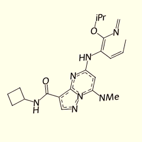 C=N/C(OC(C)C)=C(\C=C/C)Nc1cc(NC)n2ncc(C(=O)NC3CCC3)c2n1